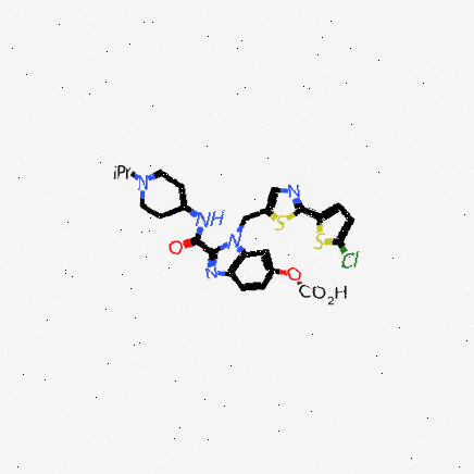 CC(C)N1CCC(NC(=O)c2nc3ccc(OC(=O)O)cc3n2Cc2cnc(-c3ccc(Cl)s3)s2)CC1